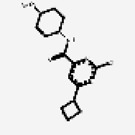 CO[C@H]1CC[C@H](NC(=O)c2cc(C3CCC3)nc(Cl)n2)CC1